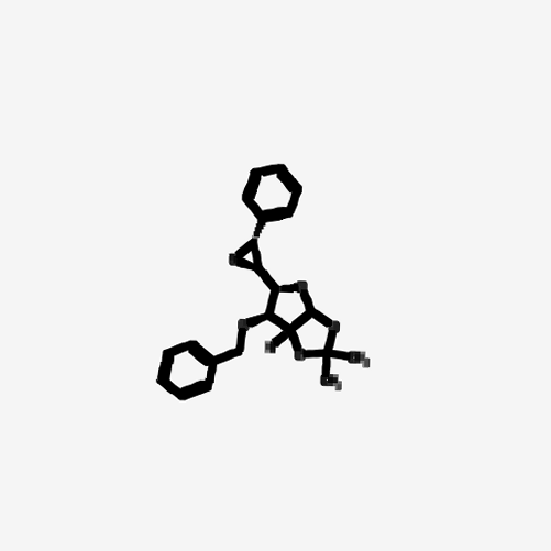 CC1(C)OC2O[C@H]([C@H]3O[C@@H]3c3ccccc3)[C@H](OCc3ccccc3)[C@H]2O1